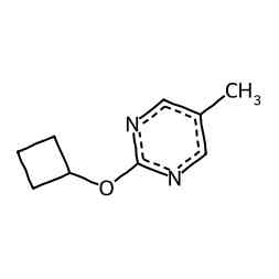 Cc1cnc(OC2CCC2)nc1